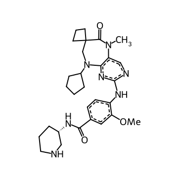 COc1cc(C(=O)N[C@H]2CCCNC2)ccc1Nc1ncc2c(n1)N(C1CCCC1)CC1(CCC1)C(=O)N2C